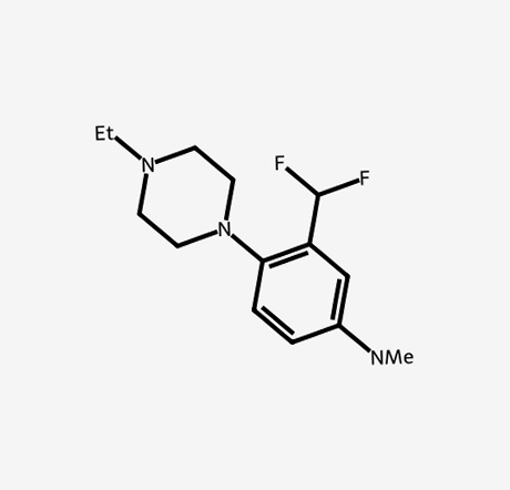 CCN1CCN(c2ccc(NC)cc2C(F)F)CC1